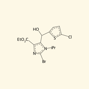 CCOC(=O)c1nc(Br)n(C(C)C)c1C(O)c1ccc(Cl)s1